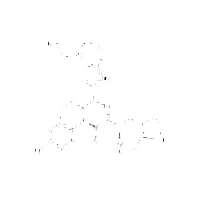 COc1cccc2[nH]c(C(O)N3CCc4cc(Cl)ccc4[C@@H]3C(=O)N[C@H](C#N)C[C@@H]3CCNC3=O)cc12